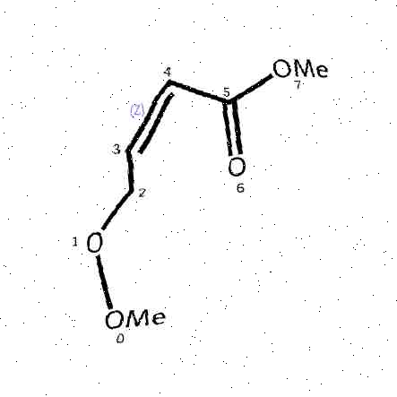 COOC/C=C\C(=O)OC